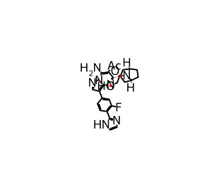 CC(=O)c1c([C@@H]2C[C@H]3CC[C@@H](C2)N3C(=O)CO)nc2c(-c3ccc(-c4ncc[nH]4)c(F)c3)cnn2c1N